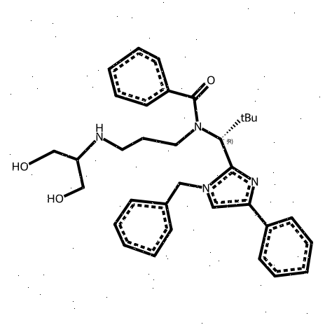 CC(C)(C)[C@H](c1nc(-c2ccccc2)cn1Cc1ccccc1)N(CCCNC(CO)CO)C(=O)c1ccccc1